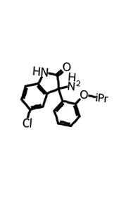 CC(C)Oc1ccccc1C1(N)C(=O)Nc2ccc(Cl)cc21